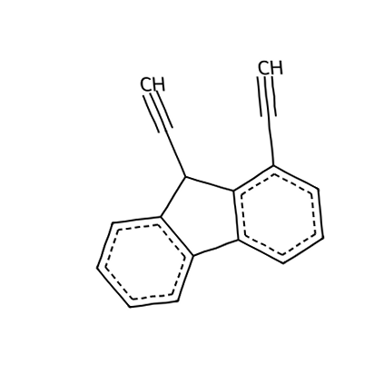 C#Cc1cccc2c1C(C#C)c1ccccc1-2